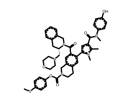 CSc1ccc(OC(=O)N2CCc3cc(-c4cc(C(=O)N(C)c5ccc(O)cc5)c(C)n4C)c(C(=O)N4Cc5ccccc5C[C@H]4CN4CCOCC4)cc3C2)cc1